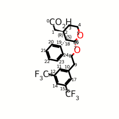 O=C(O)C[C@H]1CCO[C@H](OCCc2cc(C(F)(F)F)cc(C(F)(F)F)c2)[C@@H]1c1ccccc1